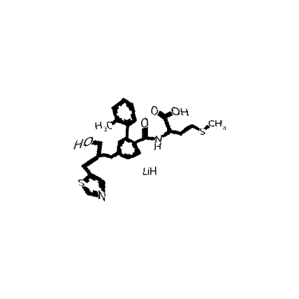 CSCCC(NC(=O)c1ccc(C/C(=C\c2cncs2)CO)cc1-c1ccccc1C)C(=O)O.[LiH]